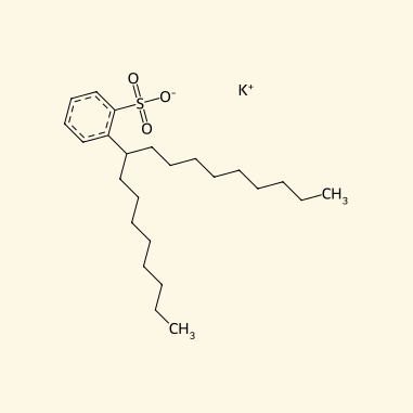 CCCCCCCCCC(CCCCCCCC)c1ccccc1S(=O)(=O)[O-].[K+]